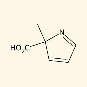 CC1(C(=O)O)C=CC=N1